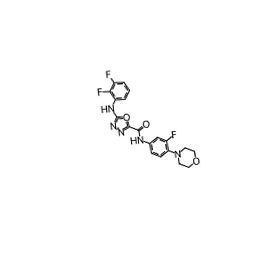 O=C(Nc1ccc(N2CCOCC2)c(F)c1)c1nnc(Nc2cccc(F)c2F)o1